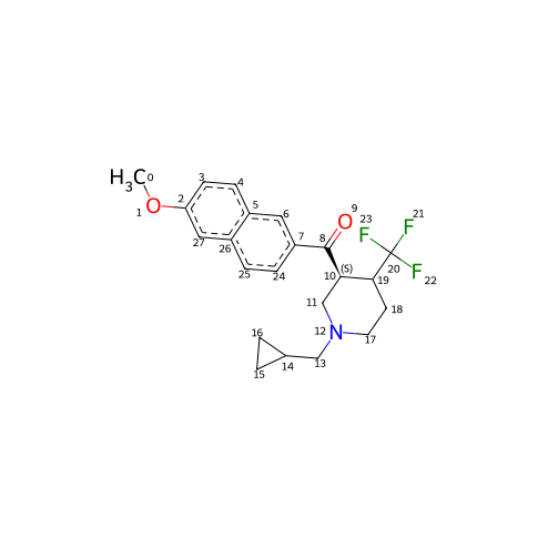 COc1ccc2cc(C(=O)[C@@H]3CN(CC4CC4)CCC3C(F)(F)F)ccc2c1